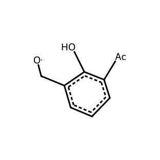 CC(=O)c1cccc(C[O])c1O